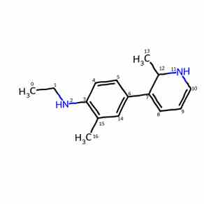 CCNc1ccc(C2=CC=CNC2C)cc1C